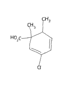 CC1C=CC(Cl)=CC1(C)C(=O)O